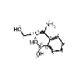 CCO.NC(=O)c1ccccc1B(O)O